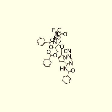 N#C[C@@]1(c2ccc3c(NC(=O)c4ccccc4)ncnn23)O[C@@](COC(=O)C(F)(F)F)(N=[N+]=[N-])[C@@H](OC(=O)c2ccccc2)[C@H]1OC(=O)c1ccccc1